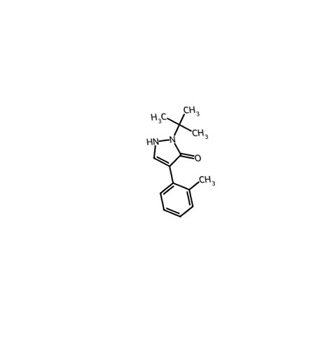 Cc1ccccc1-c1c[nH]n(C(C)(C)C)c1=O